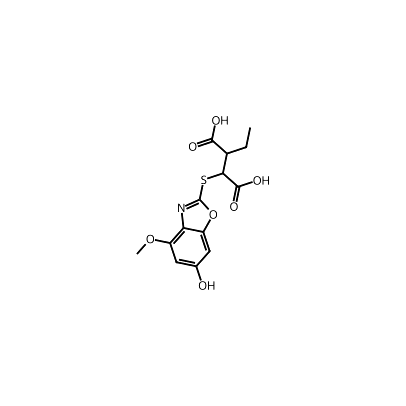 CCC(C(=O)O)C(Sc1nc2c(OC)cc(O)cc2o1)C(=O)O